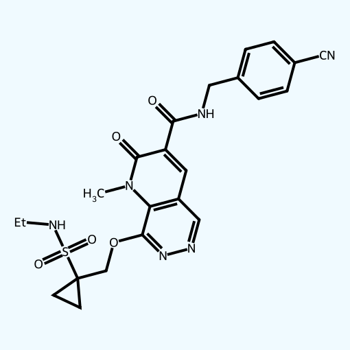 CCNS(=O)(=O)C1(COc2nncc3cc(C(=O)NCc4ccc(C#N)cc4)c(=O)n(C)c23)CC1